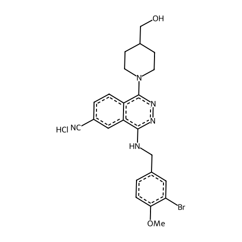 COc1ccc(CNc2nnc(N3CCC(CO)CC3)c3ccc(C#N)cc23)cc1Br.Cl